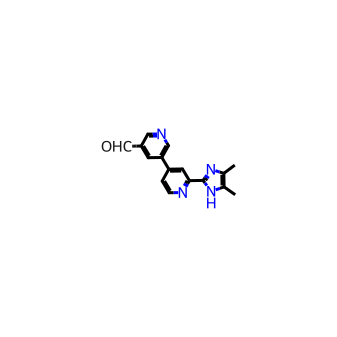 Cc1nc(-c2cc(-c3cncc(C=O)c3)ccn2)[nH]c1C